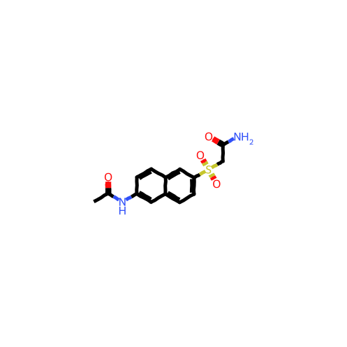 CC(=O)Nc1ccc2cc(S(=O)(=O)CC(N)=O)ccc2c1